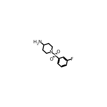 NC1CCN(S(=O)(=O)c2cccc(F)c2)CC1